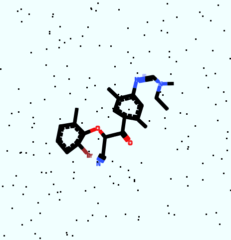 CCN(C)/C=N\c1cc(C)c(C(=O)C(C#N)Oc2c(C)cccc2Br)cc1C